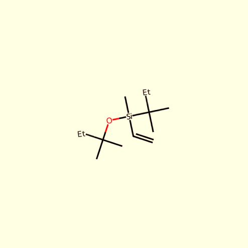 C=C[Si](C)(OC(C)(C)CC)C(C)(C)CC